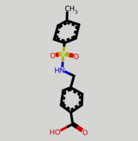 Cc1ccc(S(=O)(=O)NCc2ccc(C(=O)O)cc2)cc1